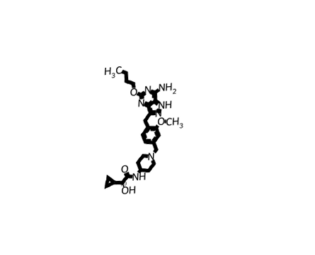 CCCCOc1nc(N)c2[nH]nc(Cc3ccc(CN4CCC(NC(=O)[C@H](O)C5CC5)CC4)cc3OC)c2n1